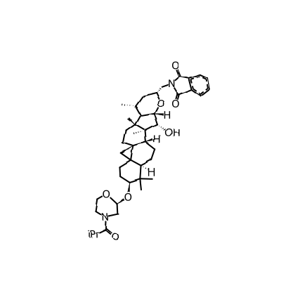 CC(C)C(=O)N1CCO[C@@H](O[C@H]2CCC34C[C@]35CC[C@]3(C)C6[C@H](C)C[C@H](CN7C(=O)c8ccccc8C7=O)O[C@@H]6[C@H](O)[C@@]3(C)[C@@H]5CC[C@H]4C2(C)C)C1